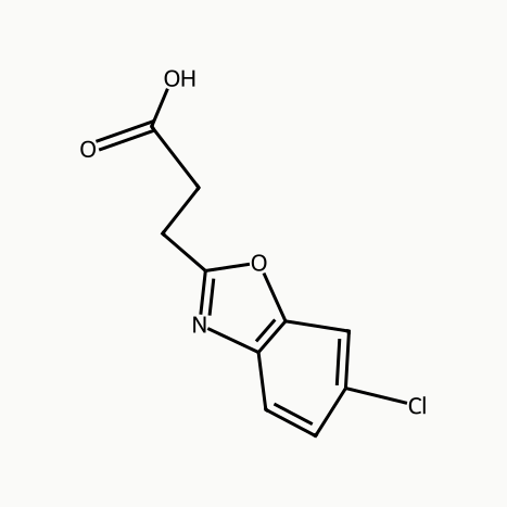 O=C(O)CCc1nc2ccc(Cl)cc2o1